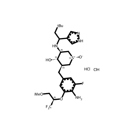 COC[C@@H](Oc1cc(C[C@@H]2C[S@@+]([O-])C[C@H](NC(CC(C)(C)C)c3cn[nH]c3)[C@H]2O)cc(F)c1N)C(F)(F)F.Cl.Cl